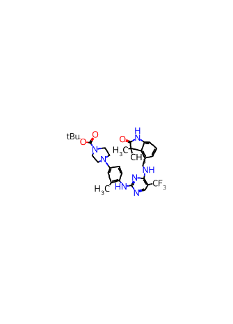 Cc1cc(N2CCN(C(=O)OC(C)(C)C)CC2)ccc1Nc1ncc(C(F)(F)F)c(NCc2cccc3c2C(C)(C)C(=O)N3)n1